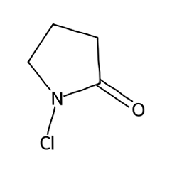 O=C1CCCN1Cl